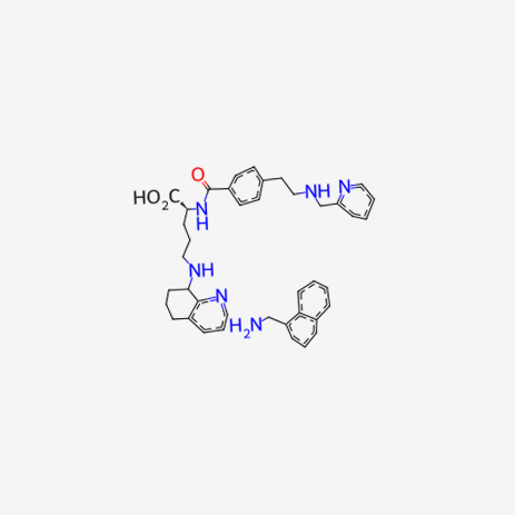 NCc1cccc2ccccc12.O=C(N[C@@H](CCCNC1CCCc2cccnc21)C(=O)O)c1ccc(CCNCc2ccccn2)cc1